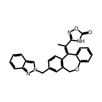 C/C(=C1\c2ccc(Cn3cc4ccccc4n3)cc2COc2ccccc21)c1noc(=O)[nH]1